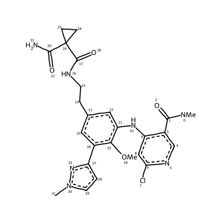 CNC(=O)c1cnc(Cl)cc1Nc1cc(CCNC(=O)C2(C(N)=O)CC2)cc(-c2ccn(C)n2)c1OC